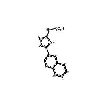 O=C(O)Nc1ncc(-c2ccc3nnccc3c2)s1